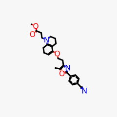 COC(=O)CCN1CCCC2=C1CCC=C2OCCc1nc(-c2ccc(C#N)cc2)oc1C